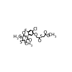 COC(=O)CSC(=O)COc1cc(-n2c(=O)n(C)c(=S)n(C)c2=O)c(F)cc1Cl